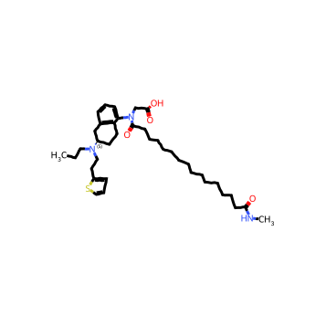 CCCN(CCc1cccs1)[C@H]1CCc2c(cccc2N(CC(=O)O)C(=O)CCCCCCCCCCCCCCC(=O)NC)C1